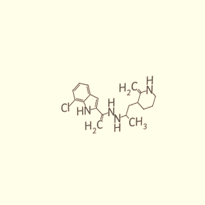 C=C(NNC(C)CC1CCCNC1=C)c1cc2cccc(Cl)c2[nH]1